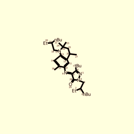 CCCCC(CC)CN1N=C(C(C)(C)C)C(=Nc2cc3c(cc2C)N(CC(CC)CCCC)C(C)(C)CC3C)C1=O